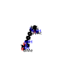 C=C(C)[C@H](NC(=O)OC)C(=O)N1CCC[C@H]1c1ncc(-c2ccc(-c3ccc(-c4cnc([C@@H]5[C@H]6CC[C@H](C6)[C@H]5C(=O)NN(C(C)=O)C(C)C)[nH]4)cc3)cc2)[nH]1